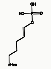 CCCCCCCCCC=COP(=O)(O)O